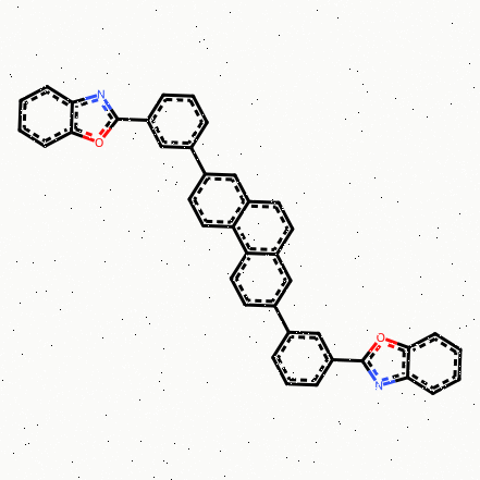 c1cc(-c2ccc3c(ccc4cc(-c5cccc(-c6nc7ccccc7o6)c5)ccc43)c2)cc(-c2nc3ccccc3o2)c1